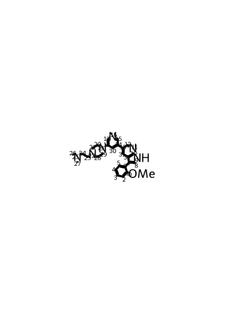 COc1ccccc1-c1c[nH]c2ncc(-c3cncc(N4CCN(CCN(C)C)CC4)c3)cc12